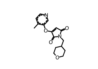 Cc1ccncc1OC1=CC(=O)N(CC2CCOCC2)C1=O